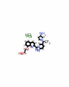 Cl.Cl.NC1CCN([C@H](c2ccc3nnc(-c4ccc5cccc(OCCO)c5n4)n3c2)C(F)(F)F)C1